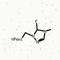 CCCCCCN1N=CN(C)C1F